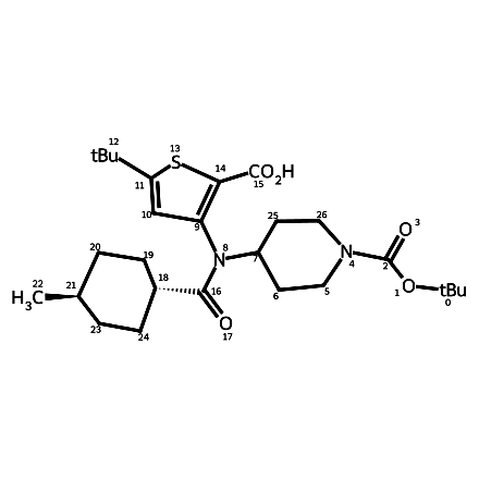 CC(C)(C)OC(=O)N1CCC(N(c2cc(C(C)(C)C)sc2C(=O)O)C(=O)[C@H]2CC[C@H](C)CC2)CC1